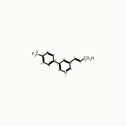 O=C(O)/C=C/c1cncc(-c2ccc(C(F)(F)F)cc2)c1